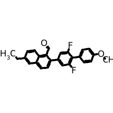 CCc1ccc2c(C=O)c(-c3cc(F)c(-c4ccc(OC)cc4)c(F)c3)ccc2c1